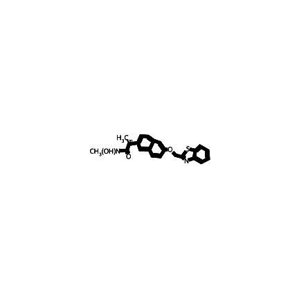 C[C@@H](C(=O)N(C)O)c1ccc2cc(OCc3nc4ccccc4s3)ccc2c1